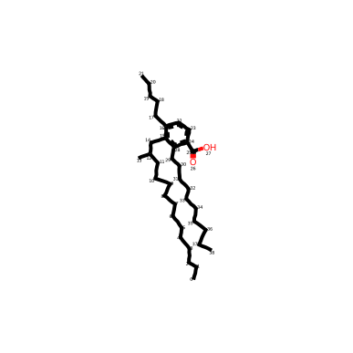 CCCCCCCCCCCCC(C)Cc1c(CCCCC)ccc(C(=O)O)c1CCCCCCCCCC